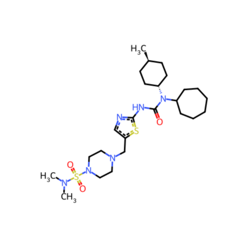 CN(C)S(=O)(=O)N1CCN(Cc2cnc(NC(=O)N(C3CCCCCC3)[C@H]3CC[C@H](C)CC3)s2)CC1